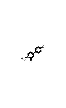 Cn1ccc(-c2ccc(Cl)cc2)cc1=O